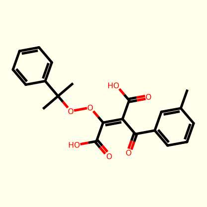 Cc1cccc(C(=O)/C(C(=O)O)=C(/OOC(C)(C)c2ccccc2)C(=O)O)c1